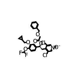 O=C(COCc1ccccc1)O[C@@H](Cc1c(Cl)c[n+]([O-])cc1Cl)c1ccc(OC(F)F)c(OCC2CC2)c1